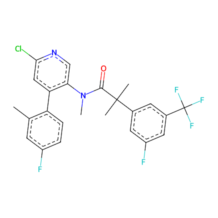 Cc1cc(F)ccc1-c1cc(Cl)ncc1N(C)C(=O)C(C)(C)c1cc(F)cc(C(F)(F)F)c1